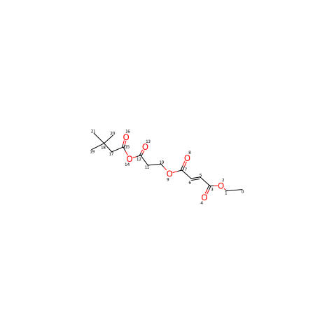 CCOC(=O)C=CC(=O)OCCC(=O)OC(=O)CC(C)(C)C